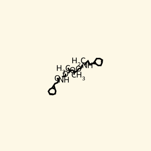 C=C(CCC1C2CC/C=C\CCC21)NCCOCC(C)OC(C)COCCNC(=O)CCC1C2CC/C=C\CCC21